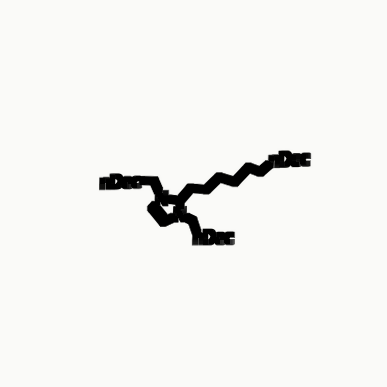 CCCCCCCCCCCCCCCCC1N(CCCCCCCCCCC)C=CN1CCCCCCCCCCC